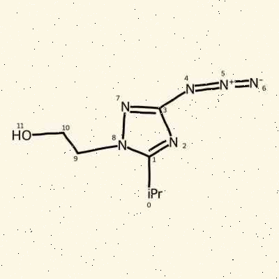 CC(C)c1nc(N=[N+]=[N-])nn1CCO